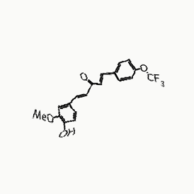 COc1cc(/C=C/C(=O)/C=C/c2ccc(OC(F)(F)F)cc2)ccc1O